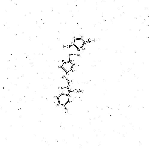 CC(=O)Oc1c(N=Nc2ccc(CCc3cc(O)ccc3O)cc2)sc2ccc(Cl)cc12